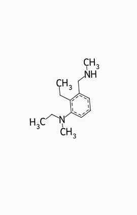 CCc1c(CNC)cccc1N(C)CC